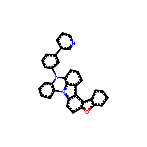 c1cncc(-c2cccc(N3c4ccccc4-n4c5ccc6oc7ccccc7c6c5c5cccc3c54)c2)c1